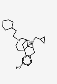 Oc1ccc2c(c1)C13CCN(CCN4CCCCC4)CCC1(O)C(C2)N(CC1CC1)CC3